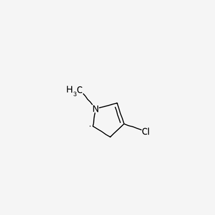 CN1[CH]CC(Cl)=C1